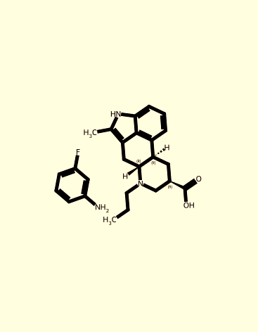 CCCN1C[C@H](C(=O)O)C[C@@H]2c3cccc4[nH]c(C)c(c34)C[C@H]21.Nc1cccc(F)c1